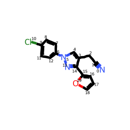 N#CCc1cn(-c2ccc(Cl)cc2)nc1-c1ccco1